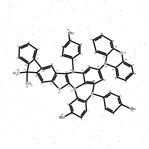 CC(C)(C)c1ccc(N2c3ccc(C(C)(C)C)cc3B3c4sc5cc6c(cc5c4N(c4ccc(C(C)(C)C)cc4)c4cc(N5c7ccccc7Oc7ccccc75)cc2c43)-c2ccccc2C6(C)C)cc1